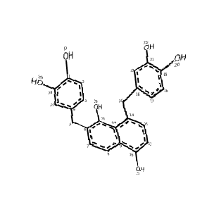 Oc1ccc(Cc2ccc3c(O)ccc(Cc4ccc(O)c(O)c4)c3c2O)cc1O